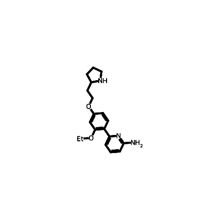 CCOc1cc(OCCC2CCCN2)ccc1-c1cccc(N)n1